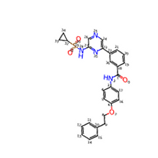 O=C(Nc1ccc(OCCc2ccccc2)cc1)c1cccc(-c2cncc(NS(=O)(=O)C3CC3)n2)c1